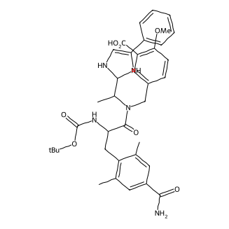 COc1ccc(CN(C(=O)C(Cc2c(C)cc(C(N)=O)cc2C)NC(=O)OC(C)(C)C)C(C)C2NC=C(c3ccccc3)N2)cc1C(=O)O